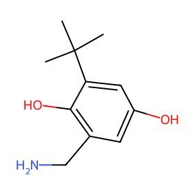 CC(C)(C)c1cc(O)cc(CN)c1O